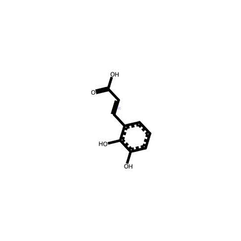 O=C(O)/C=C/c1cccc(O)c1O